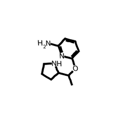 CC(Oc1cccc(N)n1)C1CCCN1